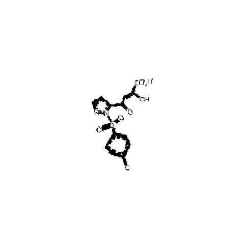 O=C(O)C(O)=CC(=O)c1ccnn1S(=O)(=O)c1ccc(Cl)cc1